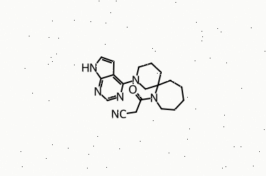 N#CCC(=O)N1CCCCCC12CCCN(c1ncnc3[nH]ccc13)C2